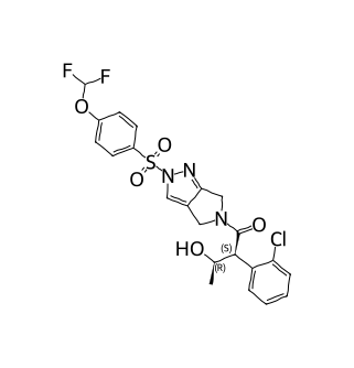 C[C@@H](O)[C@@H](C(=O)N1Cc2cn(S(=O)(=O)c3ccc(OC(F)F)cc3)nc2C1)c1ccccc1Cl